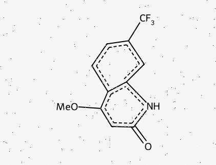 COc1cc(=O)[nH]c2cc(C(F)(F)F)ccc12